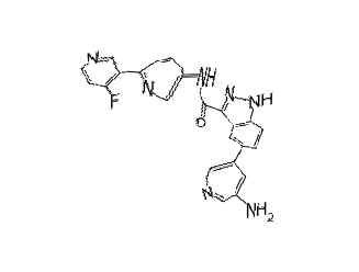 Nc1cncc(-c2ccc3[nH]nc(C(=O)Nc4ccc(-c5cnccc5F)nc4)c3c2)c1